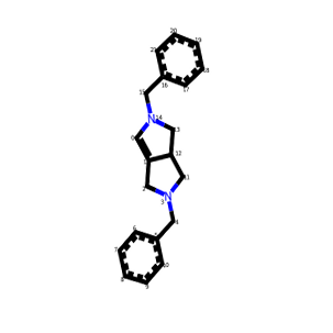 C1=C2CN(Cc3ccccc3)CC2CN1Cc1ccccc1